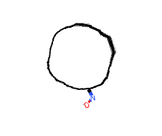 [O]N=C1CCCCCCCCCCCCCCCC1